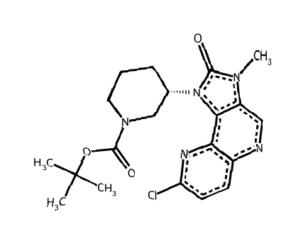 Cn1c(=O)n([C@H]2CCCN(C(=O)OC(C)(C)C)C2)c2c3nc(Cl)ccc3ncc21